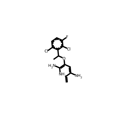 C=C/C(N)=C\C(OC(C)c1c(Cl)ccc(F)c1Cl)=C(N)N